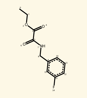 CCOC(=O)C(=O)NCc1cccc(F)c1